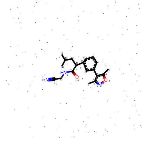 Cc1noc(C)c1-c1cccc(C(CC(C)C)C(=O)NCC#N)c1